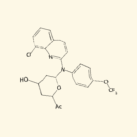 CC(=O)C1CC(O)CC(N(c2ccc(OC(F)(F)F)cc2)c2ccc3cccc(Cl)c3n2)O1